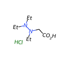 CCN(CC)N(CC)CC(=O)O.Cl